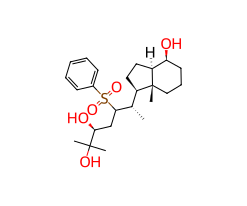 C[C@H](C(C[C@H](O)C(C)(C)O)S(=O)(=O)c1ccccc1)[C@H]1CC[C@H]2[C@@H](O)CCC[C@]12C